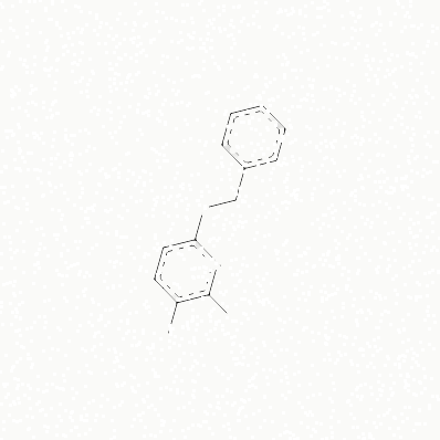 Cc1ccc(SCc2ccccc2)nc1F